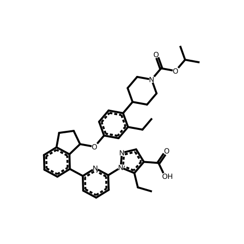 CCc1cc(OC2CCc3cccc(-c4cccc(-n5ncc(C(=O)O)c5CC)n4)c32)ccc1C1CCN(C(=O)OC(C)C)CC1